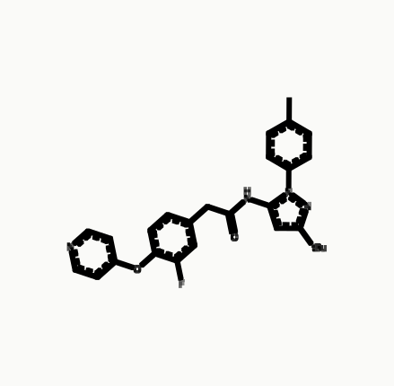 Cc1ccc(-n2nc(C(C)(C)C)cc2NC(=O)Cc2ccc(Oc3ccncc3)c(F)c2)cc1